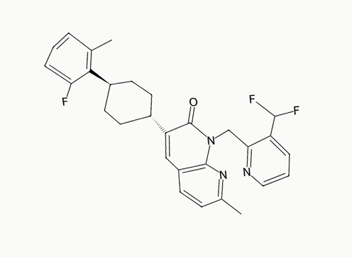 Cc1ccc2cc([C@H]3CC[C@H](c4c(C)cccc4F)CC3)c(=O)n(Cc3ncccc3C(F)F)c2n1